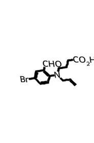 C=CCN(CCCC(=O)O)c1ccc(Br)cc1C=O